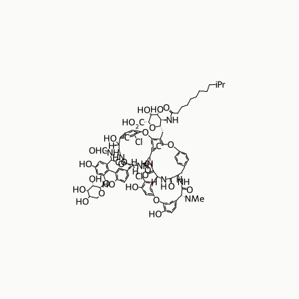 CN[C@H]1C(=O)N[C@@H]2Cc3ccc(cc3)Oc3cc4cc(c3C[C@@H]3O[C@H](C(=O)O)[C@@H](O)[C@H](O)[C@H]3NC(=O)CCCCCCCCC(C)C)Oc3ccc(cc3Cl)[C@@H](O)CNC(=O)[C@@H](c3ccc(O)c(-c5c(O[C@H]6OC[C@@H](O)[C@H](O)[C@@H]6O)cc(O)cc5[C@@H](NC=O)C(=O)O)c3)NC(=O)[C@@H]4NC(=O)[C@H](NC2=O)c2cc(cc(O)c2Cl)Oc2cc1ccc2O